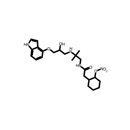 CC(C)(CNC(=O)CC1CCCCC1O[N+](=O)[O-])NCC(O)COc1cccc2[nH]ccc12